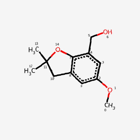 COc1cc(CO)c2c(c1)CC(C)(C)O2